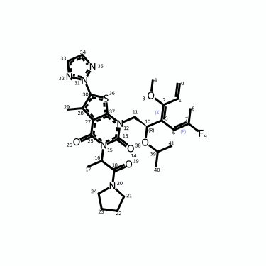 C=C/C(OC)=C(\C=C(/C)F)[C@H](Cn1c(=O)n(C(C)C(=O)N2CCCC2)c(=O)c2c(C)c(-n3nccn3)sc21)OC(C)C